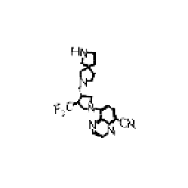 N#Cc1ccc(N2CC(C(F)(F)F)[C@@H](CN3CCC4(CCNC4)C3)C2)c2nccnc12